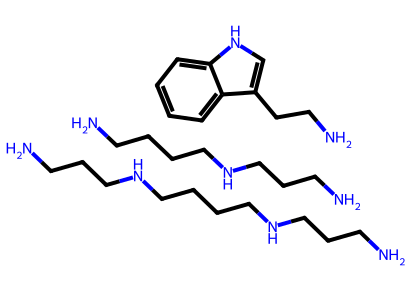 NCCCCNCCCN.NCCCNCCCCNCCCN.NCCc1c[nH]c2ccccc12